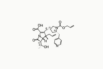 C=CCOC(=O)N1C[C@@H](SC2=C(C(=O)O)N3C(=O)[C@H]([C@@H](C)O)[C@H]3[C@@]2(C)CC=C)C[C@H]1Cc1ccncc1